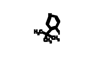 CC(C)(C)c1cnccc1I